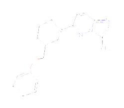 FC(F)(F)c1nnc2ccc(N3CCCC(COc4ccccc4)C3)nn12